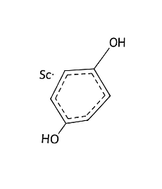 Oc1ccc(O)cc1.[Sc]